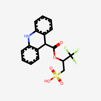 O=C(OC(CS(=O)(=O)O)C(F)(F)F)C1c2ccccc2Nc2ccccc21